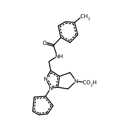 Cc1ccc(C(=O)NCc2nn(-c3ccccc3)c3c2CN(C(=O)O)C3)cc1